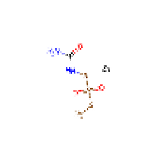 NC(=O)NSS(=O)(=O)SS.[Zn]